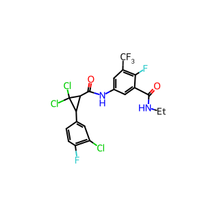 CCNC(=O)c1cc(NC(=O)C2C(c3ccc(F)c(Cl)c3)C2(Cl)Cl)cc(C(F)(F)F)c1F